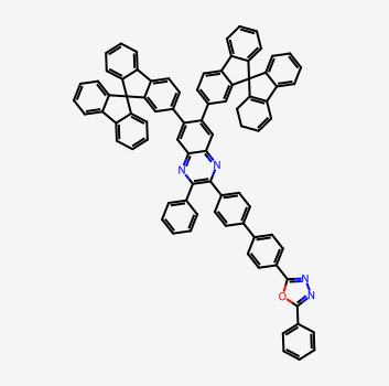 C1=CC2=C(CC1)C1(c3ccccc32)c2ccccc2-c2ccc(-c3cc4nc(-c5ccc(-c6ccc(-c7nnc(-c8ccccc8)o7)cc6)cc5)c(-c5ccccc5)nc4cc3-c3ccc4c(c3)C3(c5ccccc5-c5ccccc53)c3ccccc3-4)cc21